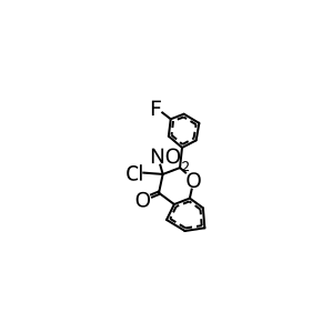 O=C1c2ccccc2OC(c2cccc(F)c2)C1(Cl)[N+](=O)[O-]